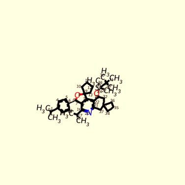 CC(C)c1ccc([C@H]2OC3(CCCC3)c3c2c(C(C)C)nc2c3[C@@H](O[Si](C)(C)C(C)(C)C)CC3(CCC3)C2)cc1